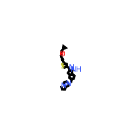 C(#Cc1cc(-c2n[nH]c3c2Cc2cc(CN4CCN5CCCC5C4)ccc2-3)cs1)COCC1CC1